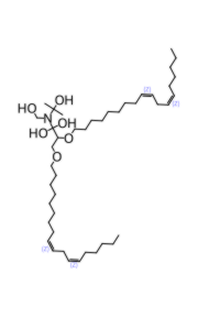 CCCCC/C=C\C/C=C\CCCCCCCCOCC(OCCCCCCCC/C=C\C/C=C\CCCCC)C(O)(O)N(CO)C(C)(C)O